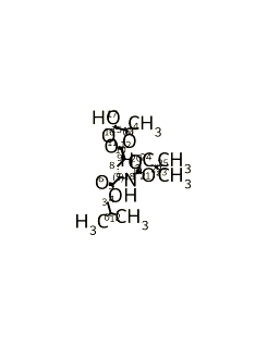 CC(C)COC(=O)[C@H](CCC(=O)O[C@@H](C)C(=O)O)NC(=O)OC(C)(C)C